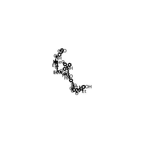 CCc1c2c(nc3ccc(O)cc13)-c1cc3c(c(=O)n1C2)COC(=O)[C@@]3(CC)OC(=O)OCc1ccc(NC(=O)C(CCCCNC(c2ccccc2)(c2ccccc2)c2ccc(OC)cc2)NC(=O)COCC(=O)NC(C)(CC)CCOC(C)(CC)Cn2cc(CNC(=O)C3CCC(CN4C(=O)C=CC4=O)CC3)nn2)cc1